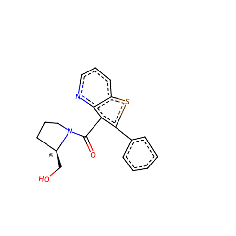 O=C(c1c(-c2ccccc2)sc2cccnc12)N1CCC[C@@H]1CO